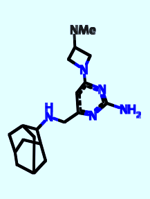 CNC1CN(c2cc(CNC3C4CC5CC(C4)CC3C5)nc(N)n2)C1